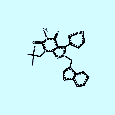 Cn1c(=O)c2c(-c3ccncc3)n(Cc3csc4ccccc34)nc2n(CC(F)(F)F)c1=O